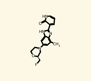 Cc1cc(N2CCO[C@H](CF)C2)cc2[nH]c(-c3ccc[nH]c3=O)nc12